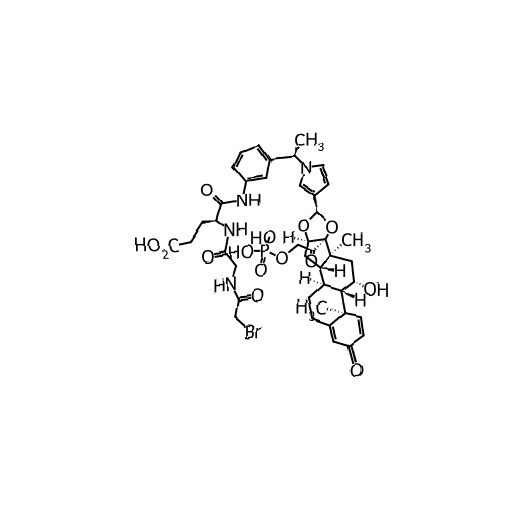 C[C@H](c1cccc(NC(=O)[C@H](CCC(=O)O)NC(=O)CNC(=O)CBr)c1)n1ccc([C@@H]2O[C@@H]3C[C@H]4[C@@H]5CCC6=CC(=O)C=C[C@]6(C)[C@H]5[C@@H](O)C[C@]4(C)[C@]3(C(=O)COP(=O)(O)O)O2)c1